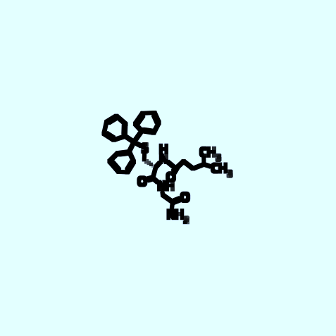 CC(C)CCC(=O)N[C@@H](CSC(c1ccccc1)(c1ccccc1)c1ccccc1)C(=O)NCC(N)=O